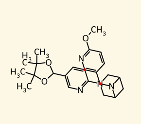 COc1ccc(CN2C3CC2CN(c2ccc(C4OC(C)(C)C(C)(C)O4)cn2)C3)cn1